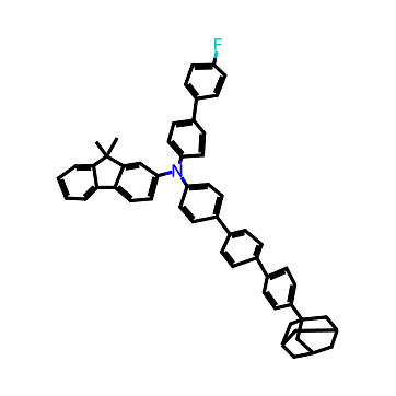 CC1(C)c2ccccc2-c2ccc(N(c3ccc(-c4ccc(F)cc4)cc3)c3ccc(-c4ccc(-c5ccc(C67CC8CC(CC(C8)C6)C7)cc5)cc4)cc3)cc21